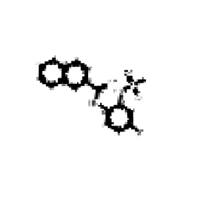 CS(=O)(=O)Nc1cc(Cl)ccc1NC(=O)c1ccc2ccccc2c1